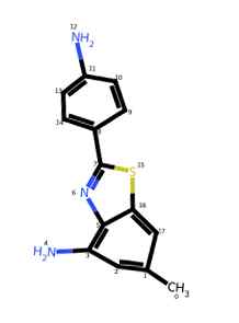 Cc1cc(N)c2nc(-c3ccc(N)cc3)sc2c1